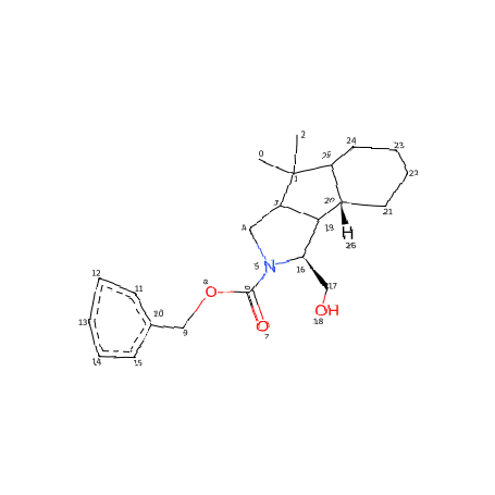 CC1(C)C2CN(C(=O)OCc3ccccc3)[C@H](CO)C2[C@H]2CCCCC21